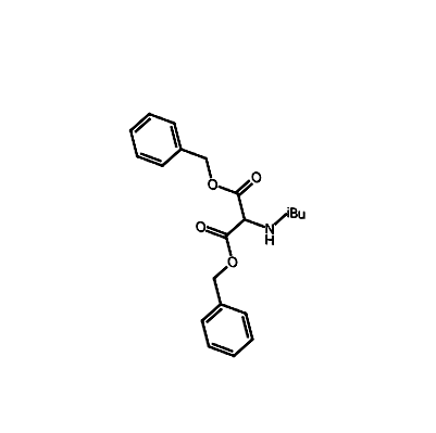 CCC(C)NC(C(=O)OCc1ccccc1)C(=O)OCc1ccccc1